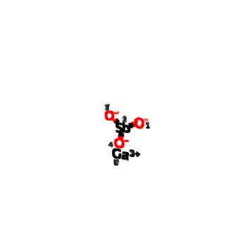 [Ga+3].[O-][Sb]([O-])[O-]